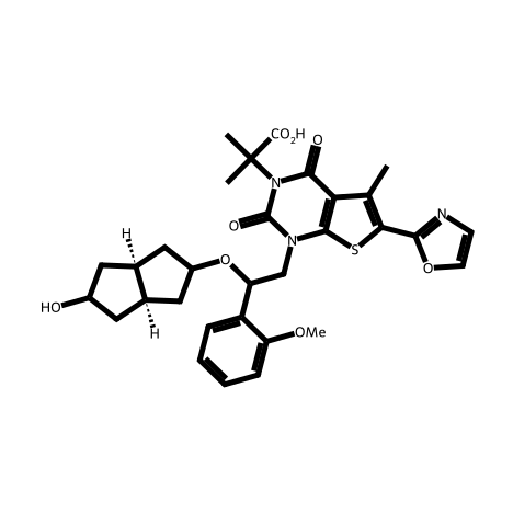 COc1ccccc1C(Cn1c(=O)n(C(C)(C)C(=O)O)c(=O)c2c(C)c(-c3ncco3)sc21)OC1C[C@H]2CC(O)C[C@H]2C1